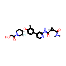 Cc1cc(-c2ccnc(NC(=O)[C@H]3CC3C(=O)N(C)C)c2)ccc1O[C@H]1CCN(C(=O)CO)C[C@H]1F